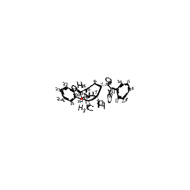 C[C@@H]1CC(=O)[C@H]2C[C@H](S(=O)(=O)c3ccccc3)[C@@H]1N2Cc1ccccc1